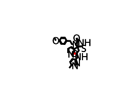 COc1ccc(CCN2C(=O)NC(=S)C2(CC(=O)Nc2ccc(C)nn2)c2cccnc2)cc1